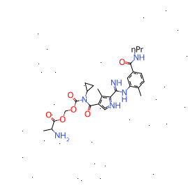 CCCNC(=O)c1ccc(C)c(NC(=N)c2[nH]cc(C(=O)N(C(=O)OCOC(=O)C(C)N)C3CC3)c2C)c1